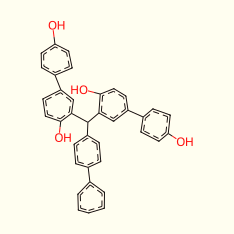 Oc1ccc(-c2ccc(O)c(C(c3ccc(-c4ccccc4)cc3)c3cc(-c4ccc(O)cc4)ccc3O)c2)cc1